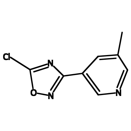 Cc1cncc(-c2noc(Cl)n2)c1